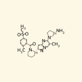 Cc1ccc(S(C)(=O)=O)cc1C(=O)N1CCCC[C@H]1c1cc2nc(N3CC[C@H](N)C3)c(C)cn2n1